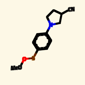 COOSc1ccc(N2CCC(C#N)C2)cc1